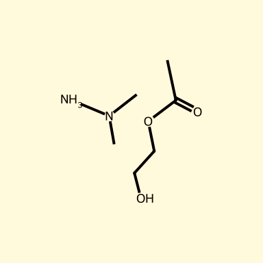 CC(=O)OCCO.CN(C)C.N